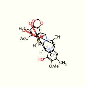 COc1c(C)cc2c(c1O)[C@H]1C3[C@@H]4SCC(=O)C(=O)OCC(c5c6c(c(C)c(OC(C)=O)c54)OCO6)N3C(C#N)(C2)CN1C